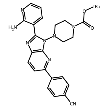 CC(C)(C)OC(=O)N1CCN(n2c(-c3cccnc3N)nc3ccc(-c4ccc(C#N)cc4)nc32)CC1